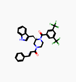 O=C(/C=C/c1ccccc1)N1CCN(C(=O)c2cc(C(F)(F)F)cc(C(F)(F)F)c2)[C@H](Cc2c[nH]c3ccccc23)C1